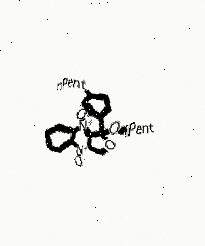 CCCCCc1ccc(C2(OC(C)CCC)OCc3c2[n+]([O-])c2ccccc2[n+]3[O-])cc1